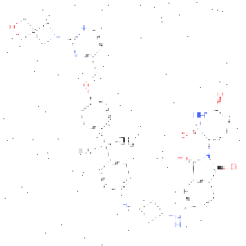 CC(C)(c1ccc(NC2CC(Nc3ccc4c(c3)C(=O)N(C3CCC(=O)NC3=O)C4=O)C2)cc1)c1ccc(OCc2ccnc(N3CC4(COC4)C3)n2)cc1